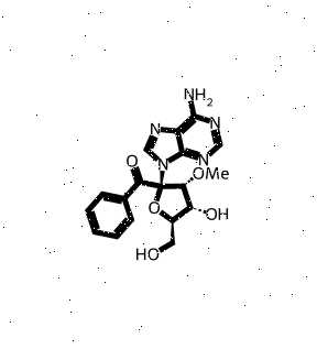 CO[C@@H]1[C@H](O)[C@@H](CO)O[C@@]1(C(=O)c1ccccc1)n1cnc2c(N)ncnc21